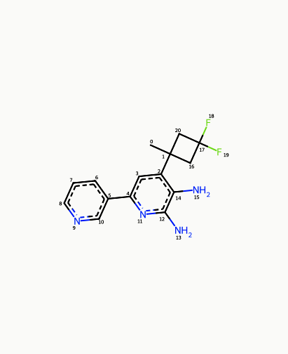 CC1(c2cc(-c3cccnc3)nc(N)c2N)CC(F)(F)C1